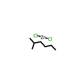 [CH2]C(C)CCCC.[Cl][Zn][Cl]